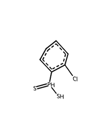 S=[PH](S)c1ccccc1Cl